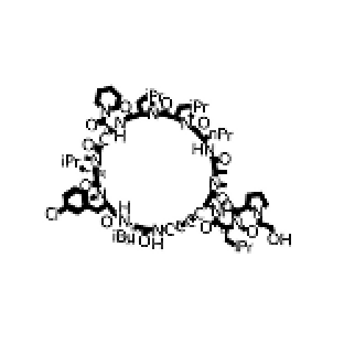 CCCC1NC(=O)C(C)N(C)C(=O)[C@@H](NC(=O)[C@H](CC(C)C)N(C)C(=O)C2CCCN2C(=O)CO)CCCCNC(=O)[C@H]([C@@H](C)CC)NC(=O)C(Cc2cccc(Cl)c2)N(C)C(=O)[C@H](CC(C)C)N(C)C(=O)C[C@@H](C(=O)N2CCCCC2)NC(=O)C(CC(C)C)N(C)C(=O)C(CC(C)C)N(C)C1=O